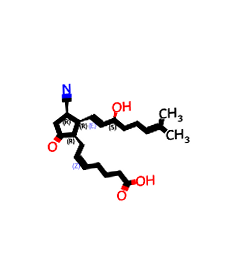 CC(C)=CCC[C@H](O)/C=C/[C@@H]1[C@H](C#N)CC(=O)[C@@H]1C/C=C\CCCC(=O)O